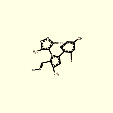 Cc1cc(-c2ccc(O)cc2F)n(-c2c(C)noc2C)c1C=NO